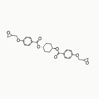 O=C(O[C@H]1CC[C@H](OC(=O)c2ccc(OCC3CO3)cc2)CC1)c1ccc(OCC2CO2)cc1